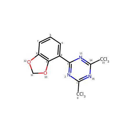 ClC(Cl)(Cl)c1nc(-c2cccc3c2OCO3)nc(C(Cl)(Cl)Cl)n1